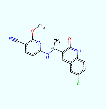 COc1nc(N[C@H](C)c2cc3cc(Cl)ccc3[nH]c2=O)ccc1C#N